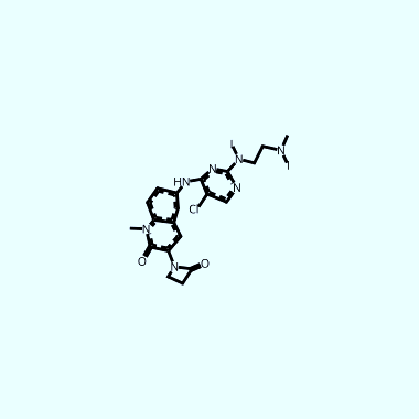 CN(I)CCN(I)c1ncc(Cl)c(Nc2ccc3c(c2)cc(N2CCC2=O)c(=O)n3C)n1